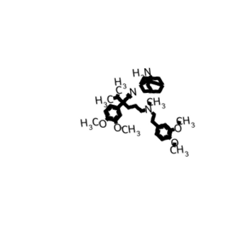 COc1ccc(CCN(C)CCCC(C#N)(c2ccc(OC)c(OC)c2)C(C)C)cc1OC.NC12CC3CC(CC(C3)C1)C2